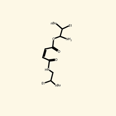 CCCCC(CC)CNC(=O)/C=C\C(=O)OC(N)C(CC)CCCC